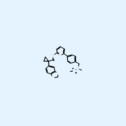 CN(Cc1ccc(-c2cccc(NC(=O)C3(c4ccc5c(c4)OCO5)CC3)n2)cc1)S(C)(=O)=O